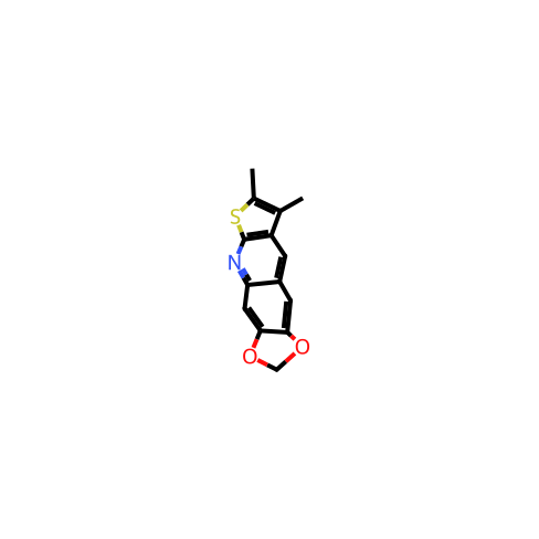 Cc1sc2nc3cc4c(cc3cc2c1C)OCO4